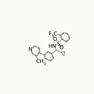 Cc1cnccc1-c1cccc(C(NS(=O)(=O)c2ccccc2C(F)(F)F)C2CC2)c1